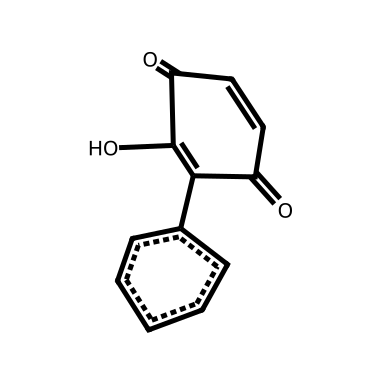 O=C1C=CC(=O)C(c2ccccc2)=C1O